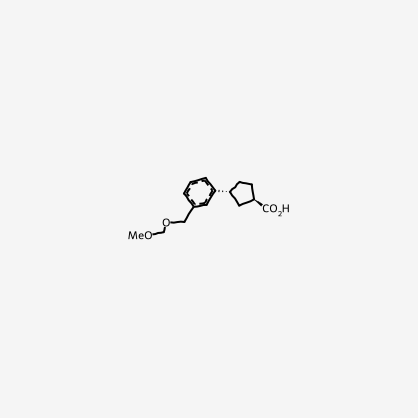 COCOCc1cccc([C@@H]2CC[C@@H](C(=O)O)C2)c1